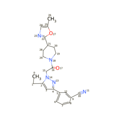 CCc1cc(-c2cccc(C#N)c2)nn1CC(=O)N1CCC(c2ncc(C)o2)CC1